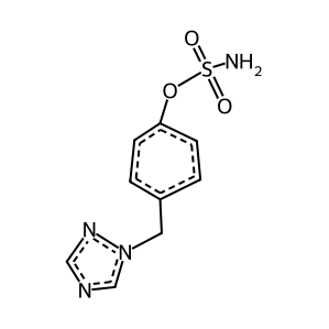 NS(=O)(=O)Oc1ccc(Cn2cncn2)cc1